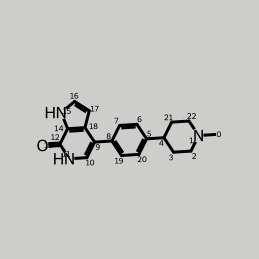 CN1CCC(c2ccc(-c3c[nH]c(=O)c4[nH]ccc34)cc2)CC1